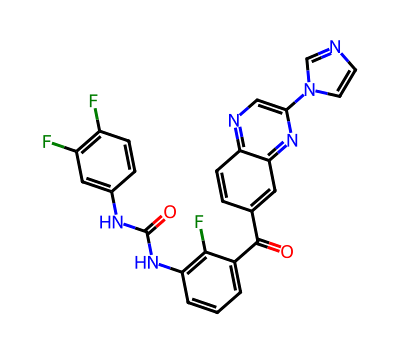 O=C(Nc1ccc(F)c(F)c1)Nc1cccc(C(=O)c2ccc3ncc(-n4ccnc4)nc3c2)c1F